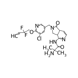 C#CC(F)(F)COc1ncc(CN2CC3C(NC(=O)C(C)(C)N)=NC=CC3C2=O)cc1Cl